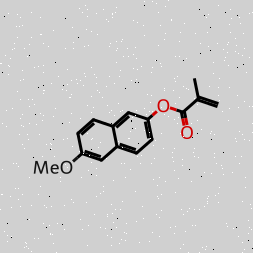 C=C(C)C(=O)Oc1ccc2cc(OC)ccc2c1